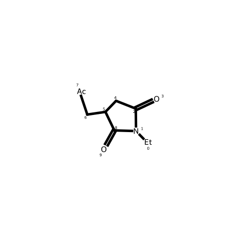 CCN1C(=O)CC(CC(C)=O)C1=O